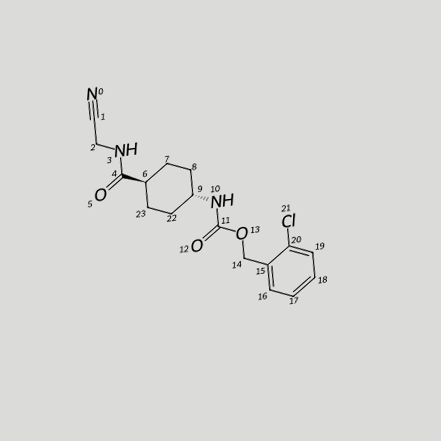 N#CCNC(=O)[C@H]1CC[C@H](NC(=O)OCc2ccccc2Cl)CC1